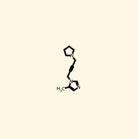 Cc1cncn1CC#CCN1CCCC1